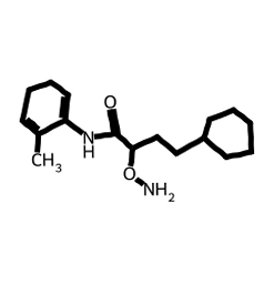 CC1=CCCC=C1NC(=O)C(CCC1CCCCC1)ON